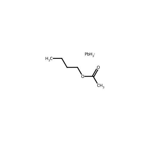 CCCCOC(C)=O.[PbH2]